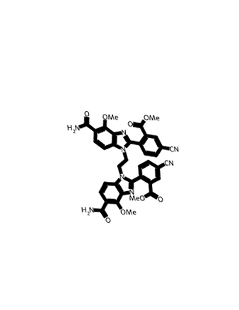 COC(=O)c1cc(C#N)ccc1-c1nc2c(OC)c(C(N)=O)ccc2n1CCn1c(-c2ccc(C#N)cc2C(=O)OC)nc2c(OC)c(C(N)=O)ccc21